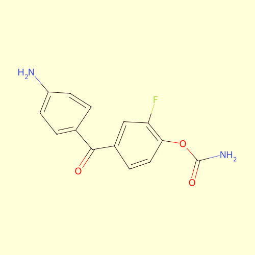 NC(=O)Oc1ccc(C(=O)c2ccc(N)cc2)cc1F